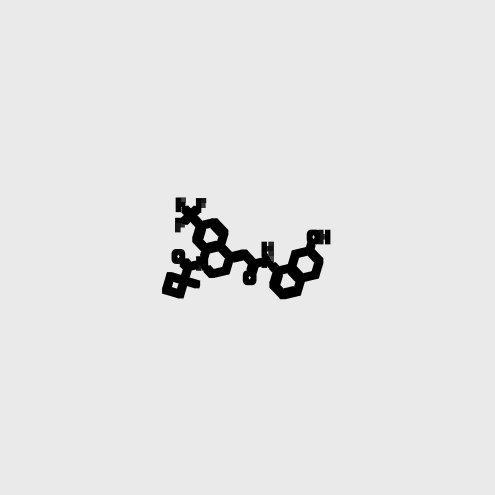 CC1(C(=O)N2CCC(=CC(=O)Nc3cccc4c3CC(O)CC4)c3ccc(C(F)(F)F)cc32)CCC1